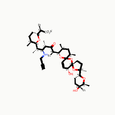 C#CCN[C@@H]([C@H](C)[C@@H]1O[C@@H]([C@@H](CC)C(=O)O)CC[C@@H]1C)[C@H](C)C(=O)[C@H](CC)[C@H]1OC2(C=C[C@@H](O)[C@]3(CC[C@@](C)([C@H]4CC[C@](O)(CC)[C@H](C)O4)O3)O2)[C@H](C)C[C@@H]1C